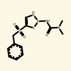 CN(C)C(=O)NN1NC=C(S(=O)(=O)Cc2ccccc2)S1